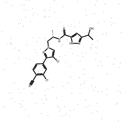 CC(O)c1cc(C(=O)N[C@@H](C)Cn2cc(Cl)c(-c3ccc(C#N)c(Cl)c3)n2)[nH]n1